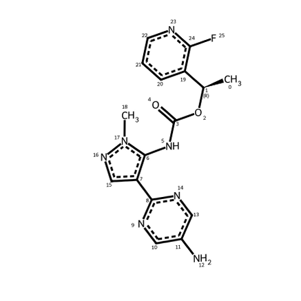 C[C@@H](OC(=O)Nc1c(-c2ncc(N)cn2)cnn1C)c1cccnc1F